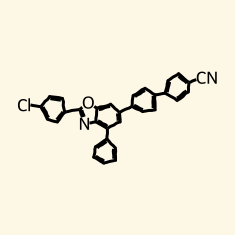 N#Cc1ccc(-c2ccc(-c3cc(-c4ccccc4)c4nc(-c5ccc(Cl)cc5)oc4c3)cc2)cc1